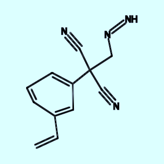 C=Cc1cccc(C(C#N)(C#N)CN=N)c1